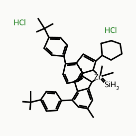 CC1=Cc2c(-c3ccc(C(C)(C)C)cc3)cc(C)cc2[CH]1[Zr]([CH3])([CH3])(=[SiH2])[CH]1C(C2CCCCC2)=Cc2c(-c3ccc(C(C)(C)C)cc3)cccc21.Cl.Cl